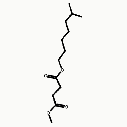 COC(=O)CCC(=O)OCCCCCC(C)C